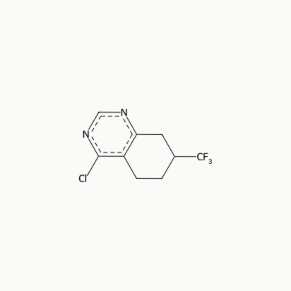 FC(F)(F)C1CCc2c(Cl)ncnc2C1